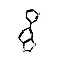 c1cncc(-c2ccc3c(c2)OCO3)c1